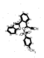 C#CC(OS(=O)(=O)c1ccc(C)cc1)c1ccccc1-c1nc2ccccc2o1